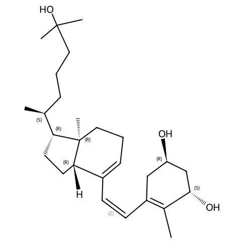 CC1=C(/C=C\C2=CCC[C@]3(C)[C@@H]([C@@H](C)CCCC(C)(C)O)CC[C@@H]23)C[C@@H](O)C[C@@H]1O